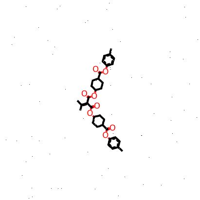 CC(C)=C(C(=O)OC1CCC(C(=O)Oc2ccc(C)cc2)CC1)C(=O)OC1CCC(C(=O)Oc2ccc(C)cc2)CC1